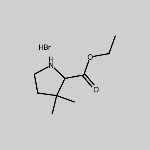 Br.CCOC(=O)C1NCCC1(C)C